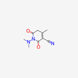 CC1=C(C#N)C(=O)N(N(C)C)C(=O)C1